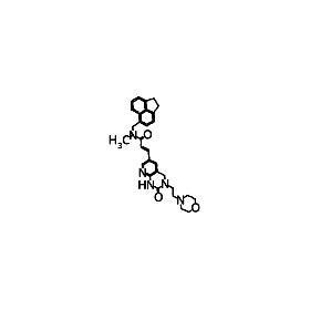 CN(Cc1ccc2c3c(cccc13)CC2)C(=O)C=Cc1cnc2c(c1)CN(CCN1CCOCC1)C(=O)N2